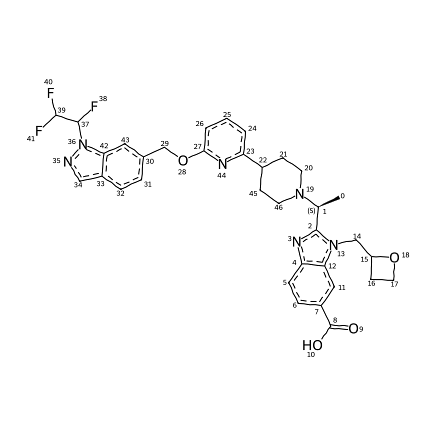 C[C@@H](c1nc2ccc(C(=O)O)cc2n1CC1CCO1)N1CCC(c2cccc(OCc3ccc4cnn(C(F)C(F)F)c4c3)n2)CC1